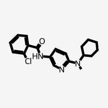 CN(c1ccc(NC(=O)c2ccccc2Cl)cn1)C1CCCCC1